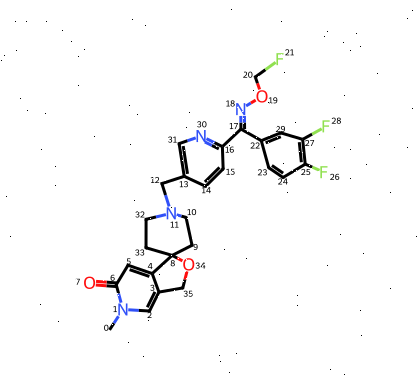 Cn1cc2c(cc1=O)C1(CCN(Cc3ccc(C(=NOCF)c4ccc(F)c(F)c4)nc3)CC1)OC2